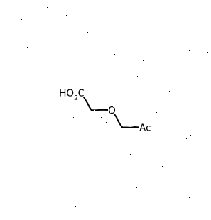 CC(=O)COCC(=O)O